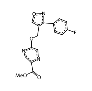 COC(=O)c1cnc(OCc2conc2-c2ccc(F)cc2)cn1